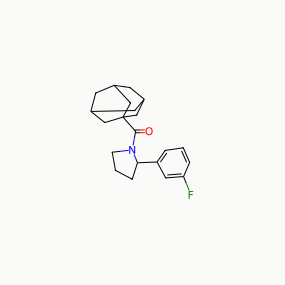 O=C(N1CCCC1c1cccc(F)c1)C12CC3CC(CC(C3)C1)C2